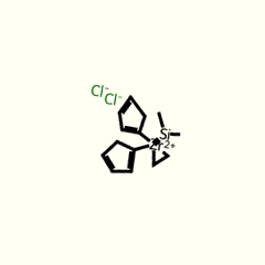 C[Si](C)=[Zr+2]1([C]2=CC=CC2)([C]2=CC=CC2)[CH2][CH2]1.[Cl-].[Cl-]